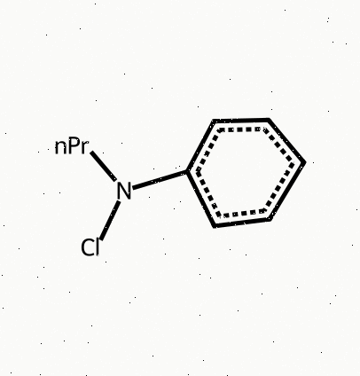 CCCN(Cl)c1ccccc1